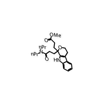 CCCN(CCC)C(=O)CCC1(CCC(=O)OC)OCCc2c1[nH]c1ccccc21